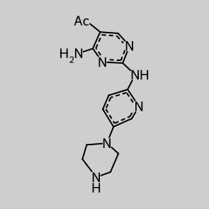 CC(=O)c1cnc(Nc2ccc(N3CCNCC3)cn2)nc1N